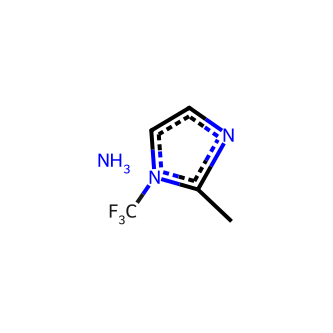 Cc1nccn1C(F)(F)F.N